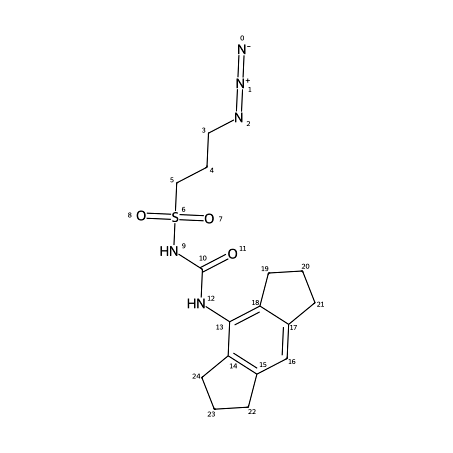 [N-]=[N+]=NCCCS(=O)(=O)NC(=O)Nc1c2c(cc3c1CCC3)CCC2